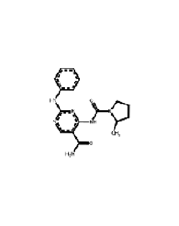 CC1CCCN1C(=O)Nc1nc(Nc2ccccc2)ncc1C(N)=O